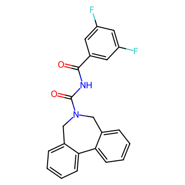 O=C(NC(=O)N1Cc2ccccc2-c2ccccc2C1)c1cc(F)cc(F)c1